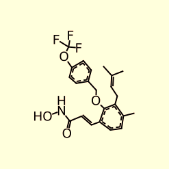 CC(C)=CCc1c(C)ccc(/C=C/C(=O)NO)c1OCc1ccc(OC(F)(F)F)cc1